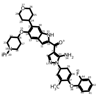 CC1=CC(n2ncc(C(=O)c3cc4cc(OC5CCN(C(C)C)CC5)c(C5CCOCC5)cc4[nH]3)c2N)CC=C1Oc1ccccc1F